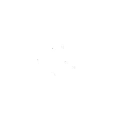 N#Cc1nnc2ccnn2c1N